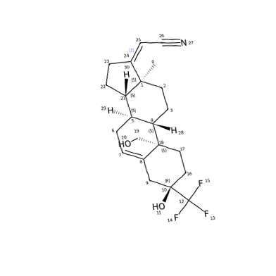 C[C@]12CC[C@H]3[C@@H](CC=C4C[C@@](O)(C(F)(F)F)CC[C@@]43CO)[C@@H]1CC/C2=C/C#N